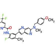 COc1ccc(CN(C)c2cc3ncc(-c4cc(NC(=O)c5cc(C(F)(F)F)ccn5)c(F)cc4C)cc3cn2)cc1